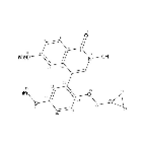 COc1ccc2c(=O)n(C)cc(-c3cc(SC(C)C)ccc3OCC3CC3)c2c1